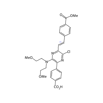 COCCN(CCOC)c1nc(/C=C/c2ccc(C(=O)OC)cc2)c(Cl)nc1-c1ccc(C(=O)O)cc1